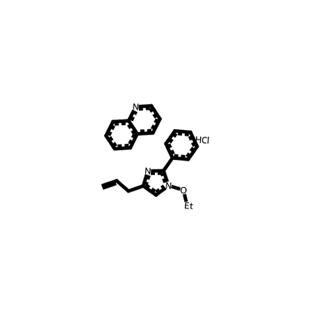 C=CCc1cn(OCC)c(-c2ccccc2)n1.Cl.c1ccc2ncccc2c1